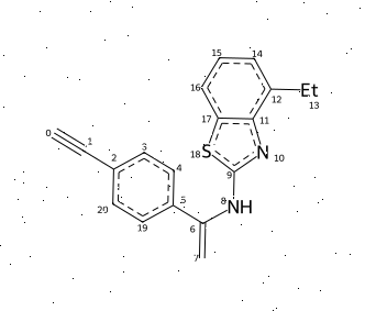 C#Cc1ccc(C(=C)Nc2nc3c(CC)cccc3s2)cc1